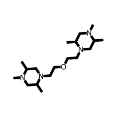 CC1CN(CCOCCN2CC(C)N(C)CC2C)C(C)CN1C